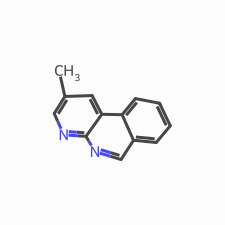 Cc1cnc2ncc3ccccc3c2c1